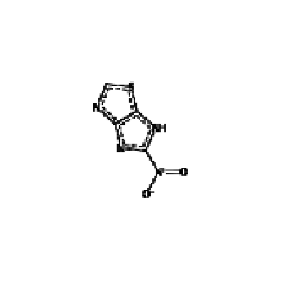 O=[N+]([O-])c1nc2ncsc2[nH]1